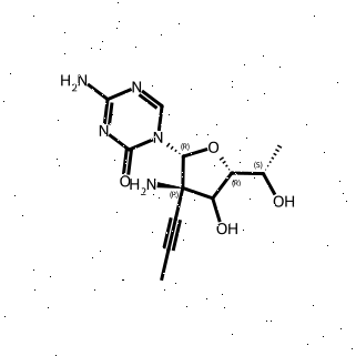 CC#C[C@@]1(N)C(O)[C@@H]([C@H](C)O)O[C@H]1n1cnc(N)nc1=O